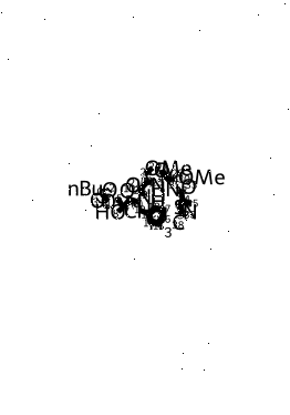 CCCCS(=O)(=O)OCC(C)(O)C(=O)[C@H](Cc1ccccc1)NC(=O)[C@@H](COC)NC(=O)[C@H](COC)NC(=O)c1cnc(C)s1